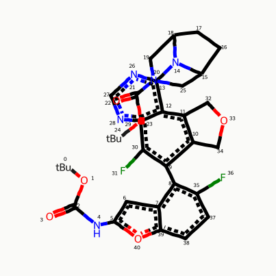 CC(C)(C)OC(=O)Nc1cc2c(-c3c4c(c5c(N6C7CCC6CN(C(=O)OC(C)(C)C)C7)ncnc5c3F)COC4)c(F)ccc2o1